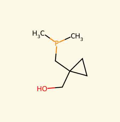 CP(C)CC1(CO)CC1